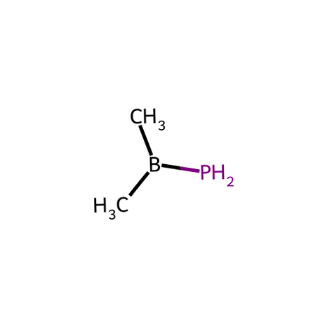 CB(C)P